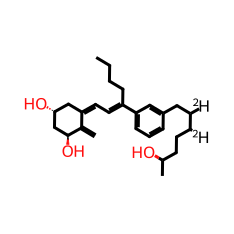 [2H]C(CCC(C)O)C([2H])Cc1cccc(/C(=C/C=C2C[C@@H](O)C[C@H](O)C2=C)CCCC)c1